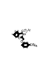 COc1cccc(OCC(=O)NC(C(=O)O)c2ccccc2)c1